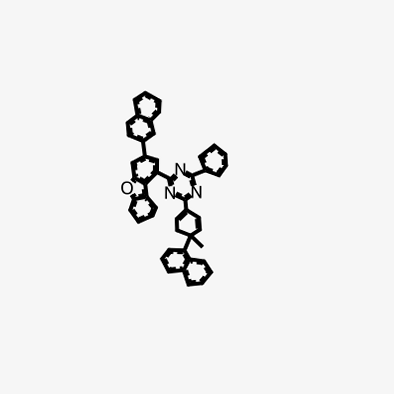 CC1(c2cccc3ccccc23)C=CC(c2nc(-c3ccccc3)nc(-c3cc(-c4ccc5ccccc5c4)cc4oc5ccccc5c34)n2)=CC1